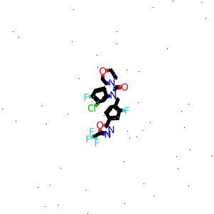 O=C(N1CCOCC1)N(Cc1ccc(-c2nnc(C(F)(F)F)o2)cc1F)c1ccc(F)c(Cl)c1